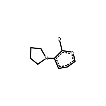 [O]c1ncccc1N1CCCC1